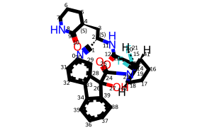 N#C[C@H](C[C@@H]1CCCNC1=O)NC(=O)[C@H]1[C@@H]2CC[C@@H](CC2(F)F)N1C(=O)C1(O)c2ccccc2-c2ccccc21